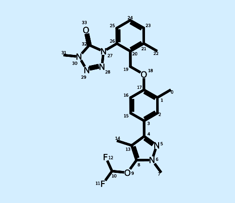 Cc1cc(-c2nn(C)c(OC(F)F)c2C)ccc1OCc1c(C)cccc1-n1nnn(C)c1=O